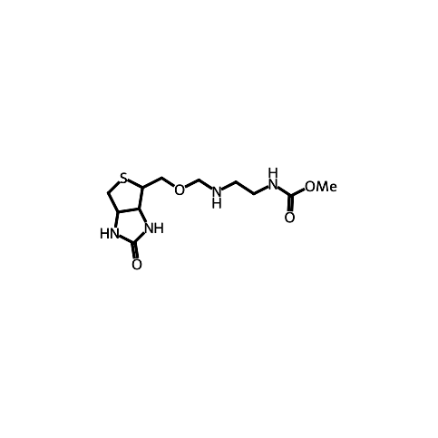 COC(=O)NCCNCOCC1SCC2NC(=O)NC21